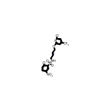 O=[N+]([O-])c1ccc(Cl)c(S(=O)(=O)NC/C=C/COc2cc(C(F)(F)F)cc(Cl)n2)c1